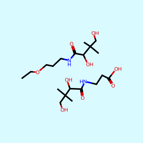 CC(C)(CO)C(O)C(=O)NCCC(=O)O.CCOCCCNC(=O)C(O)C(C)(C)CO